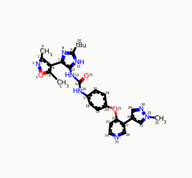 Cc1noc(C)c1-c1nc(C(C)(C)C)[nH]c1NC(=O)Nc1ccc(Oc2ccncc2-c2cnn(C)c2)cc1